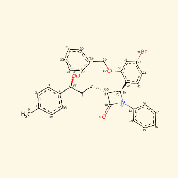 Cc1ccc([C@@H](O)CC[C@H]2C(=O)N(c3ccccc3)[C@@H]2c2ccc(Br)cc2OCc2ccccc2)cc1